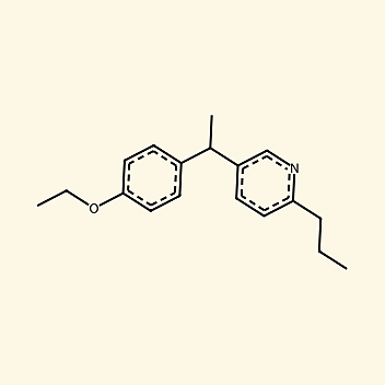 CCCc1ccc(C(C)c2ccc(OCC)cc2)cn1